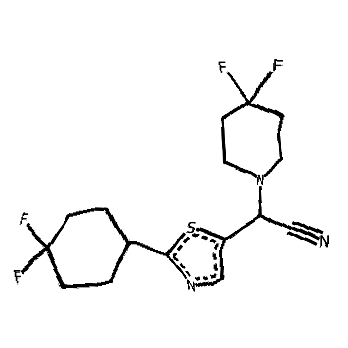 N#CC(c1cnc(C2CCC(F)(F)CC2)s1)N1CCC(F)(F)CC1